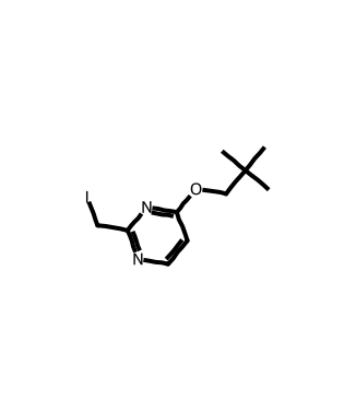 CC(C)(C)COc1ccnc(CI)n1